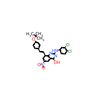 CC(C)(C)Oc1ccc(/C=C/c2cc([N+](=O)[O-])cc3c(O)nc(Nc4ccc(Cl)c(Cl)c4)nc23)cc1